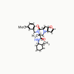 COc1cccc(CN2C(=O)c3cc4occc4n3CC2(C)C(=O)NC2CCCCC2C)c1